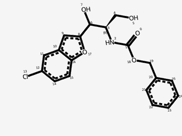 O=C(N[C@H](CO)C(O)c1cc2cc(Cl)ccc2o1)OCc1ccccc1